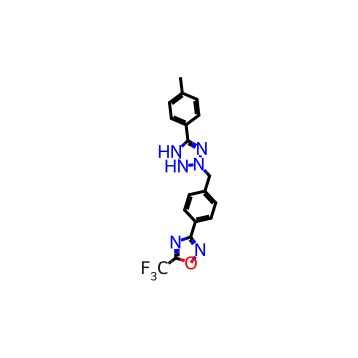 Cc1ccc(C2=NN(Cc3ccc(-c4noc(C(F)(F)F)n4)cc3)NN2)cc1